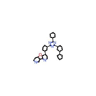 c1ccc(-c2cccc(-c3nc(-c4ccccc4)nc(-c4cccc(-c5ccnc6c5oc5ccncc56)c4)n3)c2)cc1